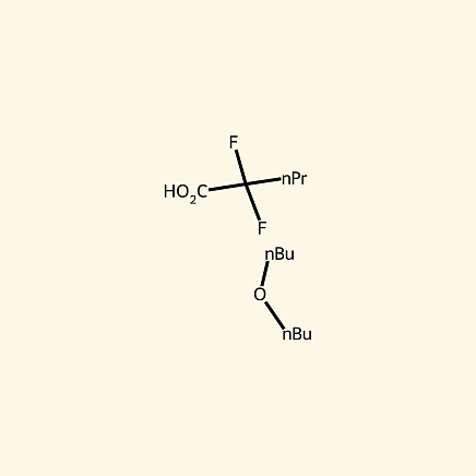 CCCC(F)(F)C(=O)O.CCCCOCCCC